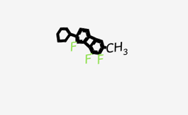 Cc1cc2c(c(F)c1F)-c1c-2ccc(C2CCCCC2)c1F